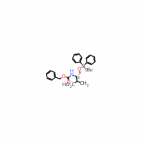 CC(C(=O)O)[C@@H](CO[Si](c1ccccc1)(c1ccccc1)C(C)(C)C)NC(=O)OCc1ccccc1